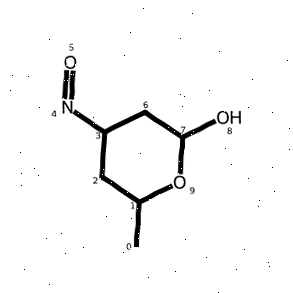 CC1CC(N=O)CC(O)O1